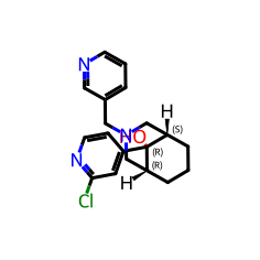 O[C@@]1(c2ccnc(Cl)c2)[C@@H]2CCC[C@H]1CN(Cc1cccnc1)C2